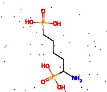 NC(CCCCP(=O)(O)O)P(=O)(O)O